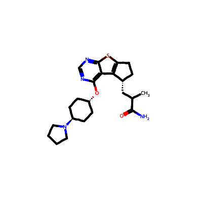 CC(C[C@H]1CCc2sc3ncnc(O[C@H]4CC[C@H](N5CCCC5)CC4)c3c21)C(N)=O